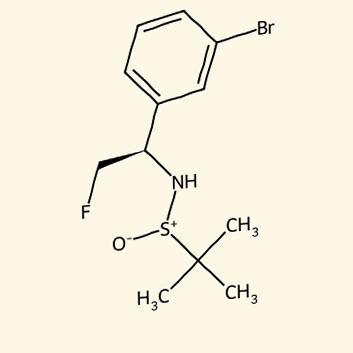 CC(C)(C)[S+]([O-])N[C@@H](CF)c1cccc(Br)c1